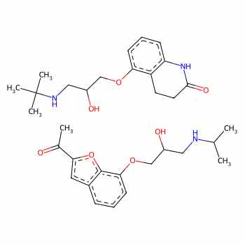 CC(=O)c1cc2cccc(OCC(O)CNC(C)C)c2o1.CC(C)(C)NCC(O)COc1cccc2c1CCC(=O)N2